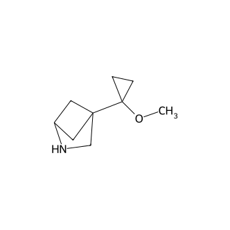 COC1(C23CNC(C2)C3)CC1